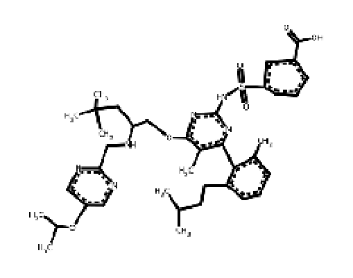 Cc1cccc(CCC(C)C)c1-c1nc(NS(=O)(=O)c2cccc(C(=O)O)c2)nc(OCC(CC(C)(C)C)NCc2ncc(OC(C)C)cn2)c1C